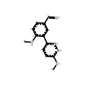 COc1ccc(-c2cc(C=O)ccc2OC)nn1